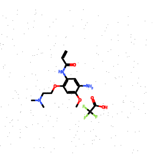 C=CC(=O)Nc1cc(N)c(OC)cc1OCCN(C)C.O=C(O)C(F)(F)F